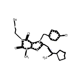 C/C(=C\c1nc2c(c(=O)n(CCCO)c(=O)n2C)n1Cc1ccc(Cl)cc1)C1CCCC1